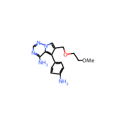 COCCOCc1cn2ncnc(N)c2c1-c1ccc(N)cc1